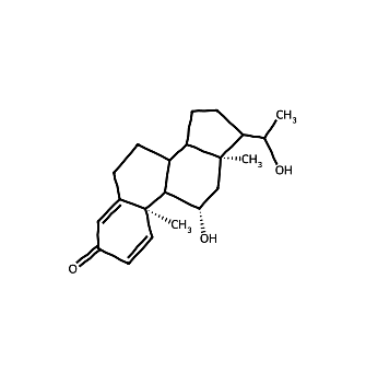 CC(O)C1CCC2C3CCC4=CC(=O)C=C[C@]4(C)C3[C@@H](O)C[C@]12C